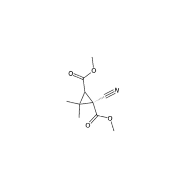 COC(=O)C1C(C)(C)[C@]1(C#N)C(=O)OC